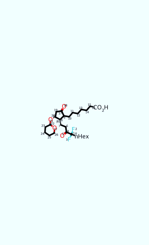 CCCCCCC(F)(F)C(=O)CC[C@@H]1C(CCCCCCC(=O)O)C(=O)C[C@H]1OC1CCCCO1